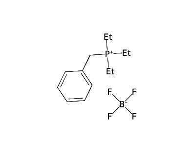 CC[P+](CC)(CC)Cc1ccccc1.F[B-](F)(F)F